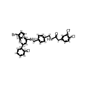 O=C(Cc1ccc(Cl)c(Cl)c1)NCc1ccc(CNc2cc(-c3ccccc3Cl)nc3c(Br)ccn23)cc1